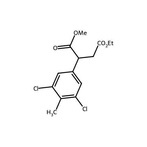 CCOC(=O)CC(C(=O)OC)c1cc(Cl)c(C)c(Cl)c1